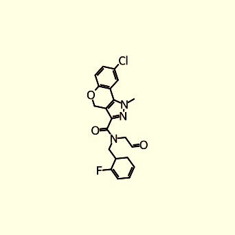 Cn1nc(C(=O)N(CC=O)CC2CC=CC=C2F)c2c1-c1cc(Cl)ccc1OC2